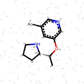 CC(=O)c1cncc(OC(C)[C@@H]2CCCN2)c1